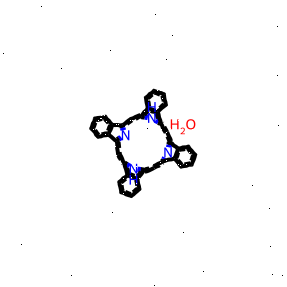 O.c1ccc2c(c1)-c1cc3[nH]c(cc4nc(cc5[nH]c(cc-2n1)c1ccccc51)-c1ccccc1-4)c1ccccc31